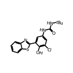 CC(C)(C)NC(=O)Nc1cc(Cl)c(O)c(-c2nc3ccccc3s2)c1